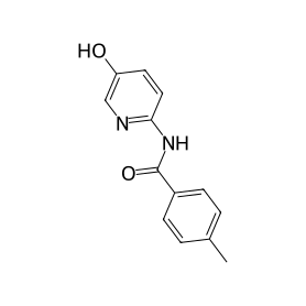 Cc1ccc(C(=O)Nc2ccc(O)cn2)cc1